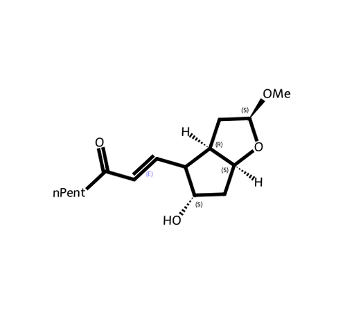 CCCCCC(=O)/C=C/C1[C@H]2C[C@@H](OC)O[C@H]2C[C@@H]1O